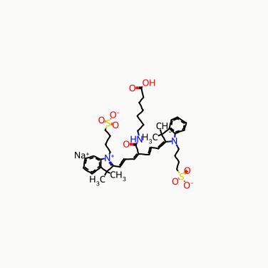 CC1(C)C(/C=C/C=C(/C=C/C=C2/N(CCCCS(=O)(=O)[O-])c3ccccc3C2(C)C)C(=O)NCCCCCCC(=O)O)=[N+](CCCCS(=O)(=O)[O-])c2ccccc21.[Na+]